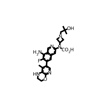 Cc1c(-c2cc3cc(N(C(=O)O)C4CN(CC(C)(C)O)C4)ncc3c(N)c2F)cnc2c1NCCO2